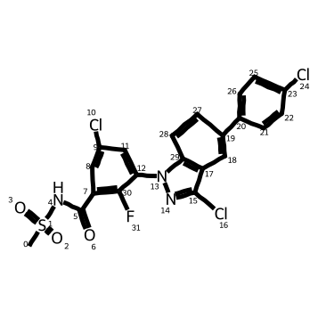 CS(=O)(=O)NC(=O)c1cc(Cl)cc(-n2nc(Cl)c3cc(-c4ccc(Cl)cc4)ccc32)c1F